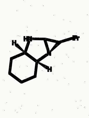 CC(C)C1C2N[C@@H]3CCCC[C@@H]3[N@@]21